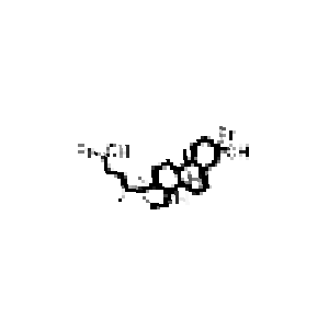 CC[C@@H](O)CC[C@@H](C)[C@H]1CC[C@H]2[C@@H]3CC=C4C[C@](O)(CC)CC[C@@H]4C3CC[C@]12C